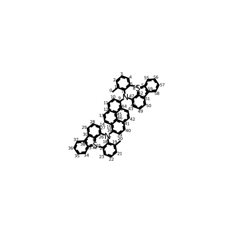 Cc1cccc(C)c1N(c1ccc2ccc3c(N(c4c(C)cccc4C)c4cccc5c4sc4ccccc45)ccc4ccc1c2c43)c1cccc2c1sc1ccccc12